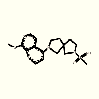 COc1nccc2c(N3CCC4(CCN(S(C)(=N)=O)C4)C3)ccnc12